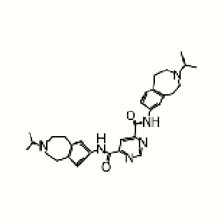 CC(C)N1CCc2ccc(NC(=O)c3cc(C(=O)Nc4ccc5c(c4)CCN(C(C)C)CC5)ncn3)cc2CC1